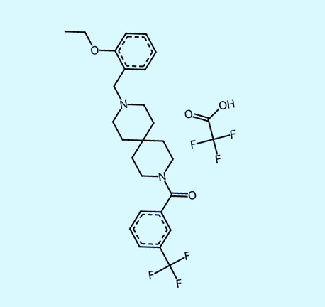 CCOc1ccccc1CN1CCC2(CC1)CCN(C(=O)c1cccc(C(F)(F)F)c1)CC2.O=C(O)C(F)(F)F